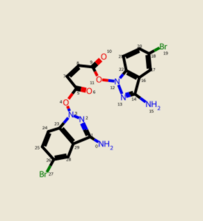 Nc1nn(OC(=O)/C=C\C(=O)On2nc(N)c3cc(Br)ccc32)c2ccc(Br)cc12